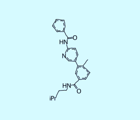 Cc1ccc(C(=O)NCCC(C)C)cc1-c1ccc(NC(=O)c2ccccc2)nc1